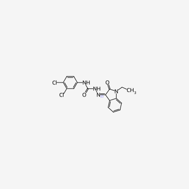 CCN1C(=O)/C(=N\NC(=O)Nc2ccc(Cl)c(Cl)c2)c2ccccc21